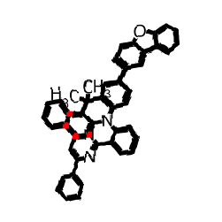 CC1(C)c2ccccc2N(c2ccccc2-c2nc(-c3ccccc3)cc(-c3ccccc3)n2)c2ccc(-c3ccc4oc5ccccc5c4c3)cc21